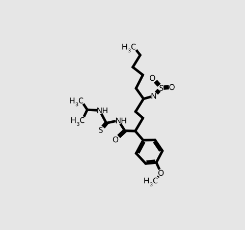 CCCCCC(CCC(C(=O)NC(=S)NC(C)C)c1ccc(OC)cc1)N=S(=O)=O